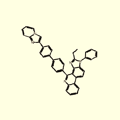 CCc1nc2c3c(-c4ccc(-c5ccc(-c6cn7ccccc7n6)cc5)cc4)nc4ccccc4c3ccc2n1-c1ccccc1